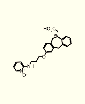 O=C(O)C[C@H]1Cc2ccc(OCCCNc3cccc[n+]3[O-])cc2Cc2ccccc21